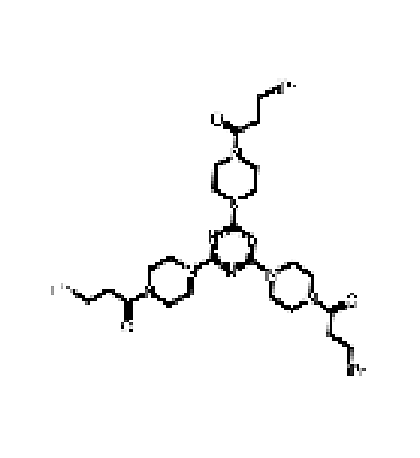 CC(C)CCC(=O)N1CCN(c2nc(N3CCN(C(=O)CCC(C)C)CC3)nc(N3CCN(C(=O)CCC(C)C)CC3)n2)CC1